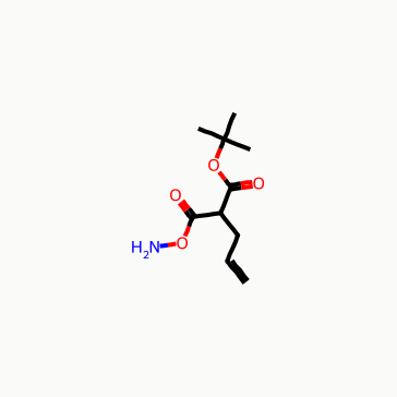 C=CCC(C(=O)ON)C(=O)OC(C)(C)C